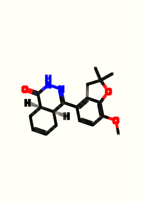 COc1ccc(C2=NNC(=O)[C@@H]3CC=CC[C@H]23)c2c1OC(C)(C)C2